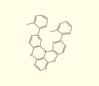 Cc1ccccc1-c1ccc2c(c1)B1c3cc(-c4ccccc4C)ccc3Oc3cccc(c31)O2